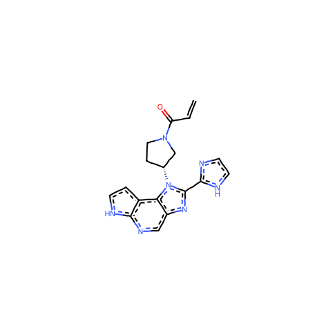 C=CC(=O)N1CC[C@@H](n2c(-c3ncc[nH]3)nc3cnc4[nH]ccc4c32)C1